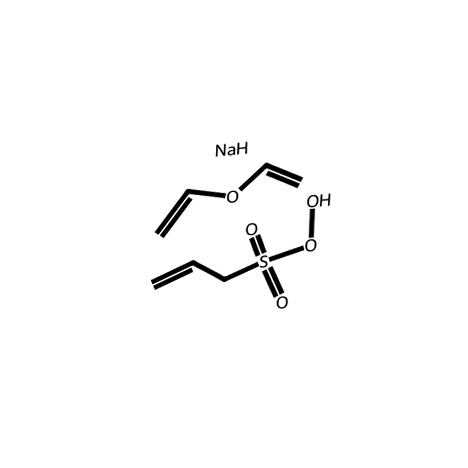 C=CCS(=O)(=O)OO.C=COC=C.[NaH]